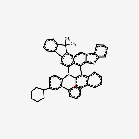 CC1(C)c2ccccc2-c2cc(N(c3ccc(C4CCCCC4)cc3-c3ccccc3)c3ccc4ccccc4c3-c3cccc4c3sc3ccccc34)ccc21